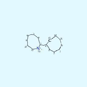 C1CCCC(C2CCCCCC[N+]2)CCC1